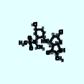 CN(c1cc(Cl)ccc1Nc1cc(Cl)nc2[nH]n(C)c(=O)c12)S(C)(=O)=O